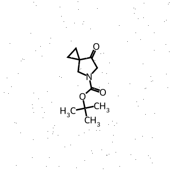 CC(C)(C)OC(=O)N1CC(=O)C2(CC2)C1